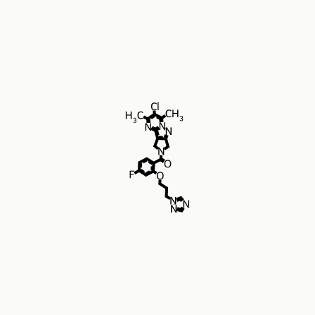 Cc1nc2c3c(nn2c(C)c1Cl)CN(C(=O)c1ccc(F)cc1OCCCn1cncn1)C3